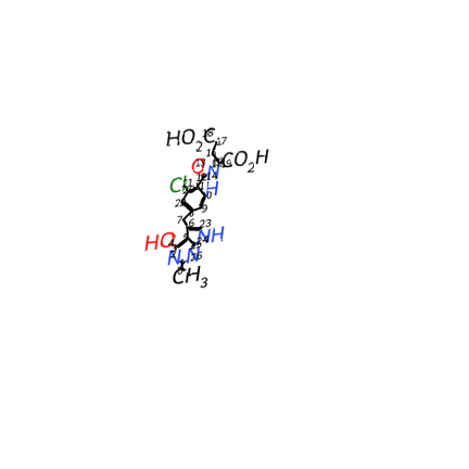 Cc1nc(O)c2c(Cc3ccc(C(=O)N[C@@H](CCC(=O)O)C(=O)O)c(Cl)c3)c[nH]c2n1